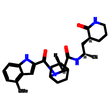 COc1cccc2[nH]c(C(=O)N3C4CCC(CC4)[C@H]3C(=O)N[C@@H](C#N)C[C@@H]3CCCNC3=O)cc12